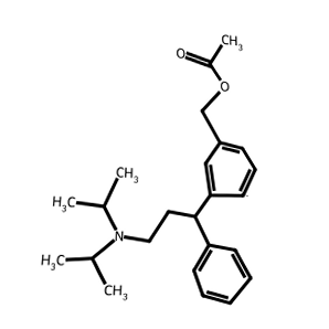 CC(=O)OCc1cc[c]c(C(CCN(C(C)C)C(C)C)c2ccccc2)c1